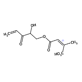 C=CC(=O)C(O)COC(=O)/C=C(/C)C(=O)O